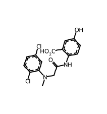 CN(CC(=O)Nc1ccc(O)cc1C(=O)O)c1cc(Cl)ccc1Cl